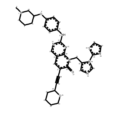 CN1CCCC(Oc2ccc(Nc3ncc4cc(C#CC5CCCCO5)c(=O)n(Cc5cncn5-c5nccs5)c4n3)cc2)C1